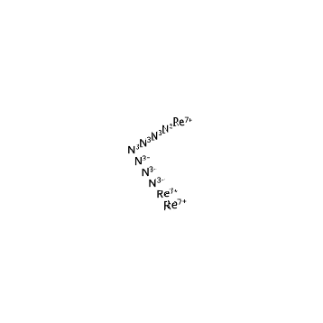 [N-3].[N-3].[N-3].[N-3].[N-3].[N-3].[N-3].[Re+7].[Re+7].[Re+7]